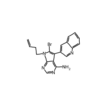 C=CCCn1c(Br)c(-c2cnc3ccccc3c2)c2c(N)ncnc21